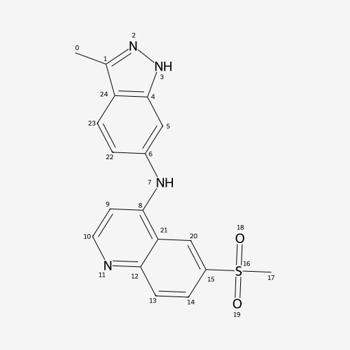 Cc1n[nH]c2cc(Nc3ccnc4ccc(S(C)(=O)=O)cc34)ccc12